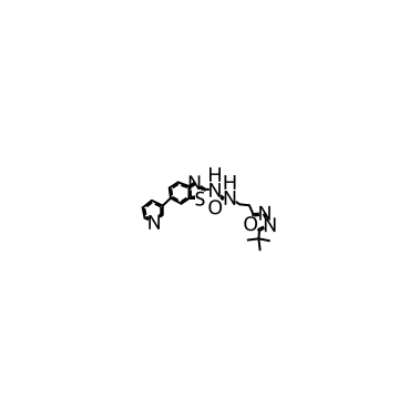 CC(C)(C)c1nnc(CCNC(=O)Nc2nc3ccc(-c4cccnc4)cc3s2)o1